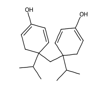 CC(C)C1(CC2(C(C)C)C=CC(O)=CC2)C=CC(O)=CC1